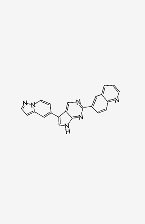 c1cnc2ccc(-c3ncc4c(-c5ccn6nccc6c5)c[nH]c4n3)cc2c1